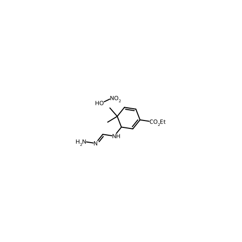 CCOC(=O)C1=CC(NC=NN)C(C)(C)C=C1.O=[N+]([O-])O